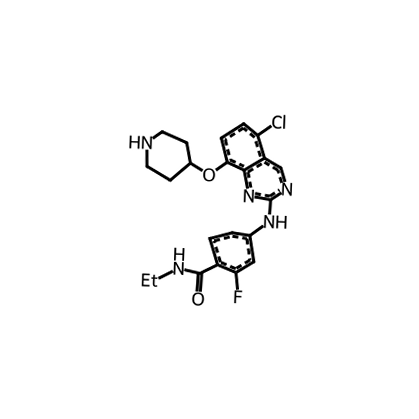 CCNC(=O)c1ccc(Nc2ncc3c(Cl)ccc(OC4CCNCC4)c3n2)cc1F